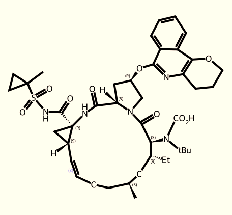 CC[C@@H]1C[C@@H](C)CC/C=C\[C@@H]2C[C@@]2(C(=O)NS(=O)(=O)C2(C)CC2)NC(=O)[C@@H]2C[C@@H](Oc3nc4c(c5ccccc35)OCCC4)CN2C(=O)[C@H]1N(C(=O)O)C(C)(C)C